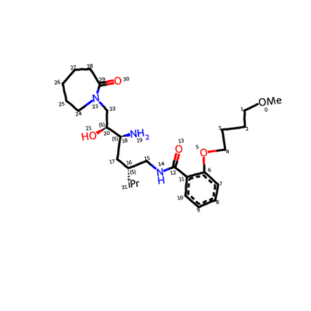 COCCCCOc1ccccc1C(=O)NC[C@@H](C[C@H](N)[C@@H](O)CN1CCCCCC1=O)C(C)C